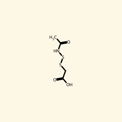 CC(=O)NSSCC(=O)O